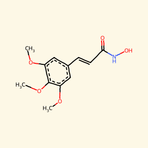 COc1cc(C=CC(=O)NO)cc(OC)c1OC